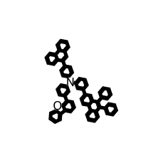 c1ccc(-c2c(-c3ccccc3)c3cc(-c4cccc(N(c5ccc(-c6cc7ccccc7c7ccccc67)cc5)c5cccc(-c6cccc7c6oc6ccccc67)c5)c4)ccc3c3ccccc23)cc1